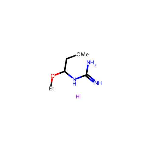 CCOC(COC)NC(=N)N.I